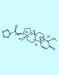 CN1C(=O)C=C[C@]2(C)[C@H]3CC[C@]4(C)[C@@H](NC(=O)c5ccsc5)CC[C@H]4[C@@H]3CC[C@@H]12